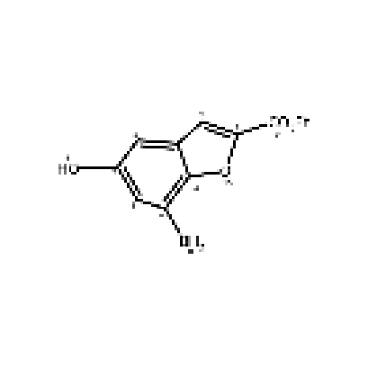 Bc1cc(O)cc2cc(C(=O)OCC)oc12